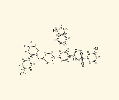 CC1(C)CCC(CN2CCN(c3ccc(C(=O)NS(=O)(=O)c4cccc(Cl)c4)c(Oc4ccc5[nH]ccc5c4)c3)CC2)=C(c2ccc(Cl)cc2)C1